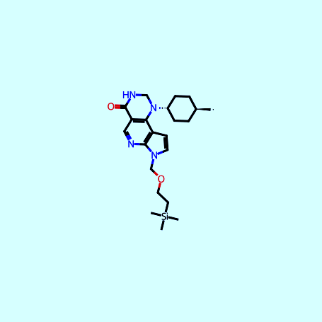 [CH2][C@H]1CC[C@H](N2CNC(=O)c3cnc4c(ccn4COCC[Si](C)(C)C)c32)CC1